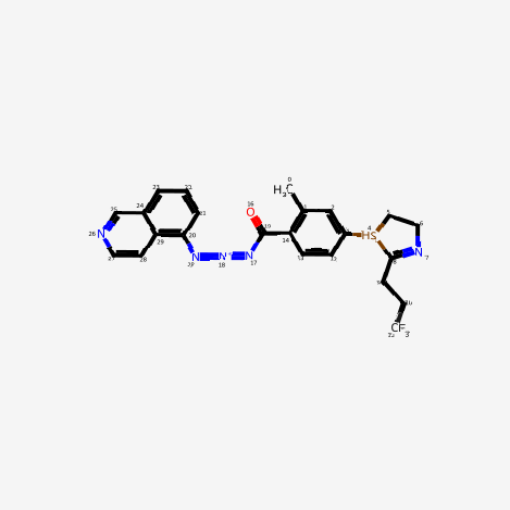 Cc1cc([SH]2CCN=C2CCC(F)(F)F)ccc1C(=O)N=[N+]=Nc1cccc2cnccc12